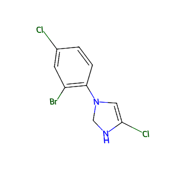 ClC1=CN(c2ccc(Cl)cc2Br)CN1